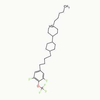 CCCCC[SiH]1CCC(C2CCC(CCCCc3cc(F)c(OC(F)(F)F)c(F)c3)CC2)CC1